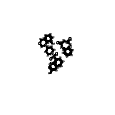 Cc1cnc2c(S(=O)(=O)N3CCC(N4COCc5cccc(C)c54)CC3)cccc2c1.O=C1CC(=O)N=c2ccccc2=N1